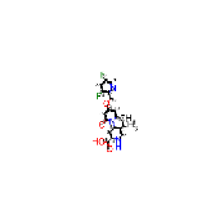 CC1=CN[C@@H](C(=O)O)C[C@H]1n1c(C)cc(OCc2ncc(F)cc2F)cc1=O